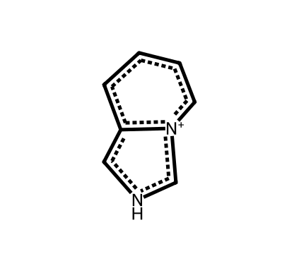 c1cc[n+]2c[nH]cc2c1